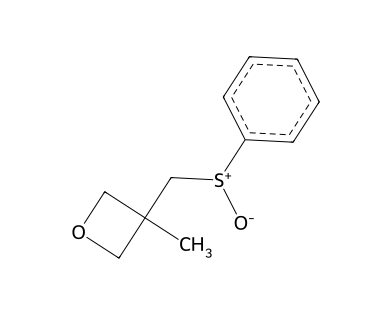 CC1(C[S+]([O-])c2ccccc2)COC1